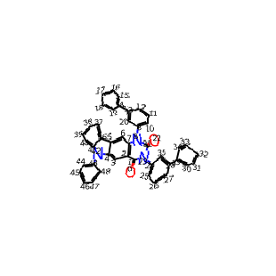 O=c1c2cc3c(cc2n(-c2cccc(-c4ccccc4)c2)c(=O)n1-c1cccc(-c2ccccc2)c1)c1ccccc1n3-c1ccccc1